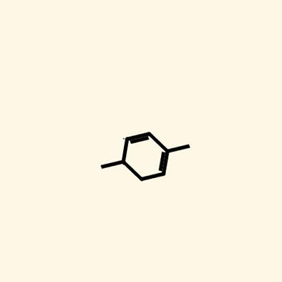 C[C]1[C]=CC(C)=CC1